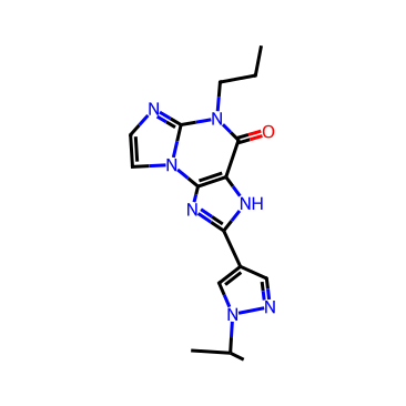 CCCn1c(=O)c2[nH]c(-c3cnn(C(C)C)c3)nc2n2ccnc12